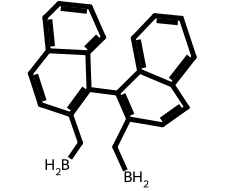 BCc1ccc2ccccc2c1-c1c(CB)ccc2ccccc12